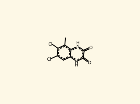 Cc1c(Cl)c(Cl)cc2[nH]c(=O)c(=O)[nH]c12